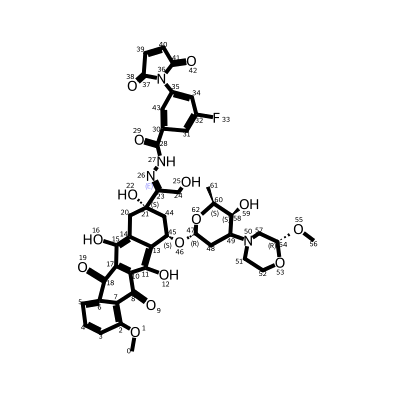 COc1cccc2c1C(=O)c1c(O)c3c(c(O)c1C2=O)C[C@@](O)(/C(CO)=N/NC(=O)c1cc(F)cc(N2C(=O)C=CC2=O)c1)C[C@@H]3O[C@H]1CC(N2CCO[C@@H](OC)C2)[C@H](O)[C@H](C)O1